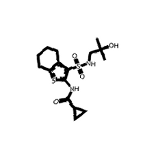 CC(C)(O)CNS(=O)(=O)c1c(NC(=O)C2CC2)sc2c1CCCC2